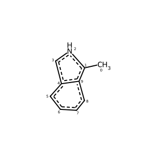 Cc1[nH][c]c2ccccc12